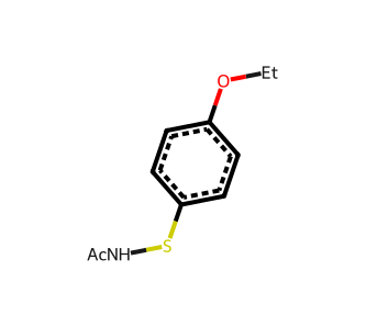 CCOc1ccc(SNC(C)=O)cc1